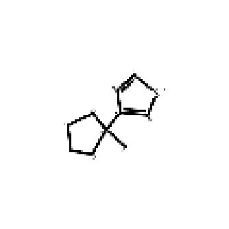 CC1(c2ccsc2)CCCC1